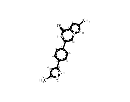 Cc1cc2c(=O)[nH]c(-c3ccc(-c4noc(C)n4)cc3)cn2n1